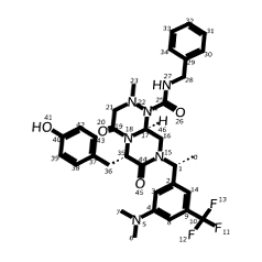 C[C@H](c1cc(N(C)C)cc(C(F)(F)F)c1)N1C[C@H]2N(C(=O)CN(C)N2C(=O)NCc2ccccc2)[C@@H](Cc2ccc(O)cc2)C1=O